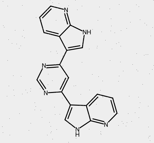 c1cnc2[nH]cc(-c3cc(-c4c[nH]c5ncccc45)ncn3)c2c1